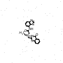 CCN(CC(=O)Nc1cccc2c1N=S=N2)Cc1nc2ccccc2c(=O)[nH]1